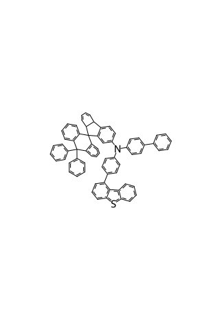 C1=CC2c3ccc(N(c4ccc(-c5ccccc5)cc4)c4ccc(-c5cccc6sc7ccccc7c56)cc4)cc3C3(c4ccccc4C(c4ccccc4)(c4ccccc4)c4ccccc43)C2C=C1